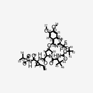 C=CC1CC1(NC(=O)C1C[C@@H](Oc2nc(C(F)(F)F)nc3cc(OC)c(OC)cc23)CN1C(=O)[C@@H](NC(=O)OC(C)(C)C)C(C)(C)C)C(=O)NS(=O)(=O)C(C)C